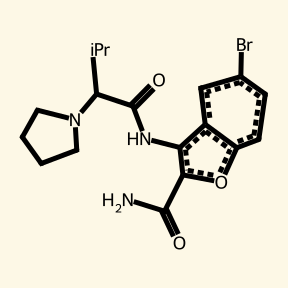 CC(C)C(C(=O)Nc1c(C(N)=O)oc2ccc(Br)cc12)N1CCCC1